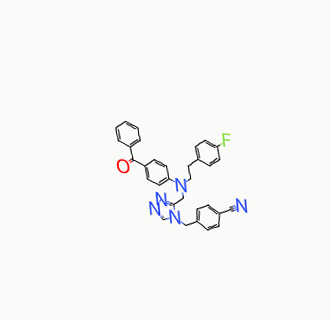 N#Cc1ccc(Cn2cnnc2CN(CCc2ccc(F)cc2)c2ccc(C(=O)c3ccccc3)cc2)cc1